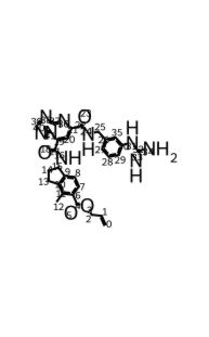 C=CCOC(=O)c1ccc2c(c1C)CC[C@@H]2NC(=O)c1cc(C(=O)NCc2cccc(NC(=N)N)c2)nc2ncnn12